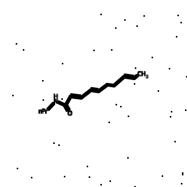 C/C=C/CC/C=C/C=C/C(=O)NCCC